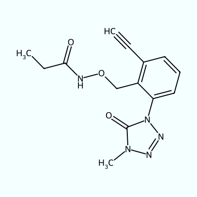 C#Cc1cccc(-n2nnn(C)c2=O)c1CONC(=O)CC